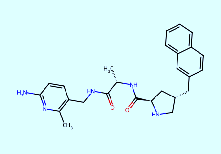 Cc1nc(N)ccc1CNC(=O)[C@H](C)NC(=O)[C@H]1C[C@H](Cc2ccc3ccccc3c2)CN1